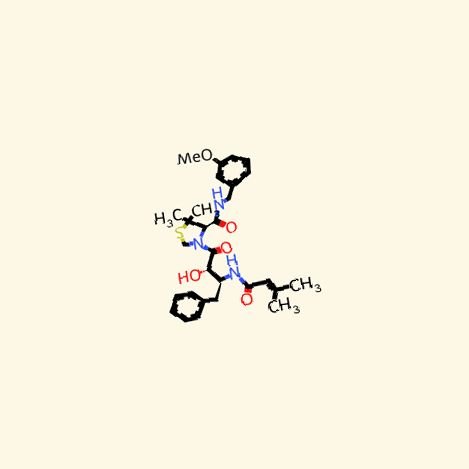 COc1cccc(CNC(=O)[C@H]2N(C(=O)[C@@H](O)[C@H](Cc3ccccc3)NC(=O)C=C(C)C)CSC2(C)C)c1